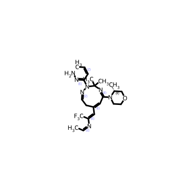 C/C=C\C(=N/N)N1/N=C\CC(/C=C(/N=C\C)C(F)(F)F)=C\C(N2CCOC[C@H]2C)=N/C1(C)C